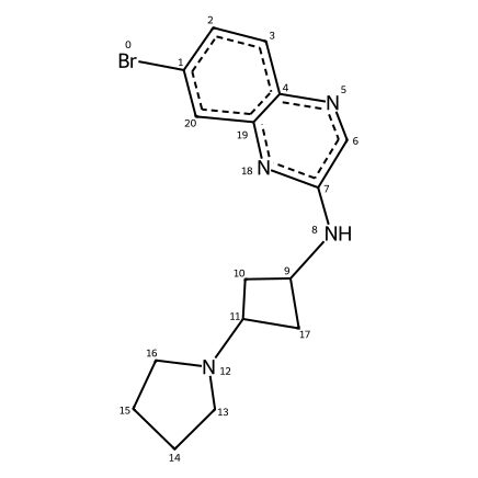 Brc1ccc2ncc(NC3CC(N4CCCC4)C3)nc2c1